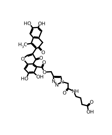 CC1=C(c2coc3cc(O)c(O)c(C(=O)OCc4cn(CC(=O)NCCCC(=O)O)nn4)c3c2=O)C(=O)Cc2cc(O)c(O)cc21